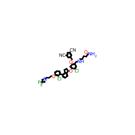 N#Cc1cc(C#N)cc(COc2cc(O[C@H]3CCc4c(-c5cccc(OCCCN6CC(F)(F)C6)c5Cl)cccc43)c(Cl)cc2CNCCCCC(N)=O)c1